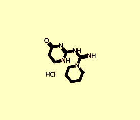 Cl.N=C(NC1=NC(=O)CCN1)N1CCCCC1